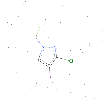 FCn1cc(I)c(Cl)n1